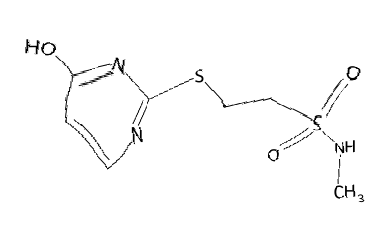 CNS(=O)(=O)CCSc1nccc(O)n1